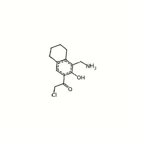 NCc1c(O)c(C(=O)CCl)cc2c1CCCC2